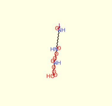 O=C(O)COCCOCCNC(=O)COCCOCCNC(=O)CCCCCCCCCCCNC(=O)CI